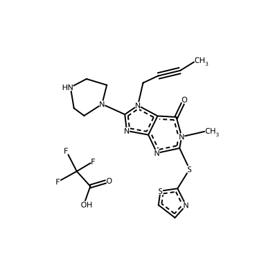 CC#CCn1c(N2CCNCC2)nc2nc(Sc3nccs3)n(C)c(=O)c21.O=C(O)C(F)(F)F